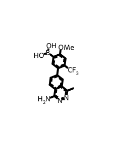 COc1cc(C(F)(F)F)c(-c2ccc3c(N)nnc(C)c3c2)cc1B(O)O